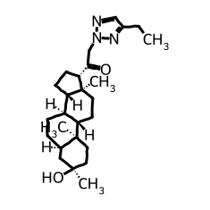 CCc1cnn(CC(=O)[C@H]2CC[C@H]3[C@@H]4CC[C@@H]5C[C@](C)(O)CC[C@]5(C)[C@H]4CC[C@]23C)n1